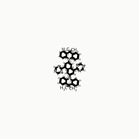 CC1(C)c2ccccc2N(c2cc(-c3ncncn3)c3cc(N4c5ccccc5C(C)(C)c5ccccc54)cc(-c4ncncn4)c3c2)c2ccccc21